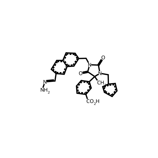 CC1(c2cccc(C(=O)O)c2)C(=O)N(Cc2ccc3ccc(C=NN)cc3c2)C(=O)N1Cc1ccccc1